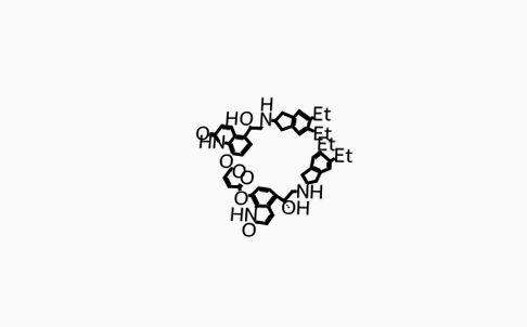 CCc1cc2c(cc1CC)CC(NC[C@H](O)c1ccc(OC(=O)/C=C\C(=O)Oc3ccc([C@@H](O)CNC4Cc5cc(CC)c(CC)cc5C4)c4ccc(=O)[nH]c34)c3[nH]c(=O)ccc13)C2